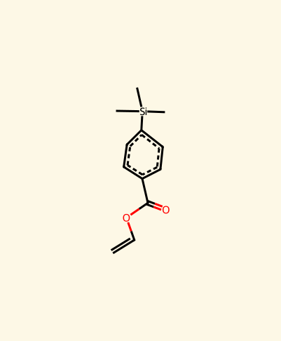 C=COC(=O)c1ccc([Si](C)(C)C)cc1